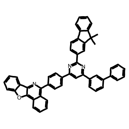 CC1(C)c2ccccc2-c2ccc(-c3nc(-c4ccc(-c5nc6c7ccccc7oc6c6ccccc56)cc4)cc(-c4cccc(-c5ccccc5)c4)n3)cc21